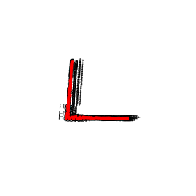 O=P(O)(O)O.O=P(O)(O)O.O=P(O)(O)O.O=P(O)(O)O.O=P(O)(O)O.O=P(O)(O)O.O=P(O)(O)O.O=P(O)(O)O.[Ca+2].[Ca+2].[Ca+2].[Ca+2].[Ca+2].[Ca+2].[Ca+2].[Ca+2].[Ca+2].[Ca+2].[Ca+2].[Ca+2].[Ca+2].[Ca+2].[Ca+2].[Ca+2].[Ca+2].[Ca+2].[Ca+2].[Ca+2].[Ca+2].[Ca+2].[Ca+2].[Ca+2].[Ca+2].[Ca+2].[Ca+2].[Ca+2].[Ca+2].[Ca+2].[Ca+2].[Ca+2].[Ca+2].[Ca+2].[Ca+2].[Ca+2].[Ca+2].[Ca+2].[Ca+2].[Ca+2].[Ca+2].[Ca+2].[Ca+2].[Ca+2].[Ca+2].[Ca+2].[Ca+2].[Ca+2].[Ca+2].[Ca+2].[Ca+2].[Ca+2].[Ca+2].[Ca+2].[Ca+2].[Ca+2].[Ca+2].[Ca+2].[Ca+2].[Ca+2].[Ca+2].[Ca+2].[Ca+2].[Ca+2].[Ca+2].[Ca+2].[Ca+2].[Ca+2].[Ca+2].[Ca+2].[Ca+2].[Ca+2].[Ca+2].[Ca+2].[Ca+2].[Ca+2].[Ca+2].[Ca+2].[Ca+2].[Ca+2].[Ca+2].[Ca+2].[Ca+2].[Ca+2].[Ca+2].[Ca+2].[Ca+2].[Ca+2].[Ca+2].[Ca+2].[Ca+2].[Ca+2].[Ca+2].[Ca+2].[Ca+2]